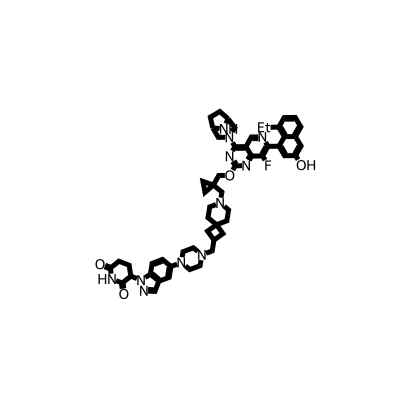 CCc1cccc2cc(O)cc(-c3ncc4c(N5CC6CCC(C5)N6)nc(OCC5(CN6CCC7(CC6)CC(CN6CCN(c8ccc9c(cnn9C9CCC(=O)NC9=O)c8)CC6)C7)CC5)nc4c3F)c12